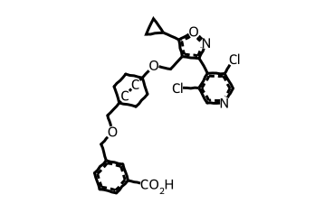 O=C(O)c1cccc(COCC23CCC(OCc4c(-c5c(Cl)cncc5Cl)noc4C4CC4)(CC2)CC3)c1